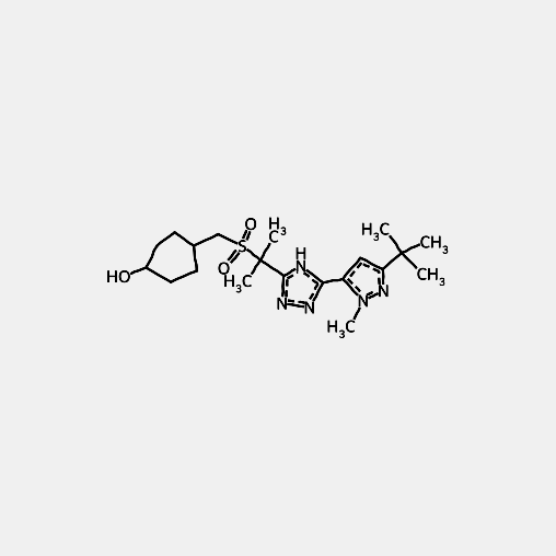 Cn1nc(C(C)(C)C)cc1-c1nnc(C(C)(C)S(=O)(=O)CC2CCC(O)CC2)[nH]1